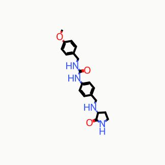 COc1ccc(CNC(=O)Nc2ccc(CN[C@H]3CCNC3=O)cc2)cc1